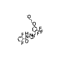 COCCCOc1ccc(Cn2ccc(NC(=O)C3C(F)=CC=CC3F)n2)c(C(F)(F)F)c1